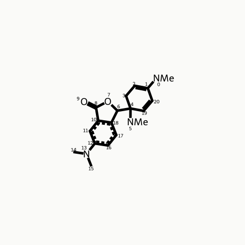 CNC1=CCC(NC)(C2OC(=O)c3cc(N(C)C)ccc32)C=C1